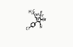 CCOCn1c(-c2ccc(Cl)cc2)c(C#N)c(Br)c1C(F)(F)F